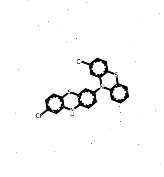 Clc1ccc2c(c1)Nc1ccc(N3c4ccccc4Sc4ccc(Cl)cc43)cc1S2